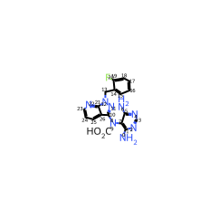 Nc1ncnc(N)c1N(C(=O)O)c1nn(Cc2ccccc2F)c2ncccc12